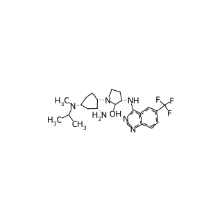 CC(C)N(C)[C@@H]1CC[C@H](N2CC[C@H](Nc3ncnc4ccc(C(F)(F)F)cc34)C2O)[C@H](N)C1